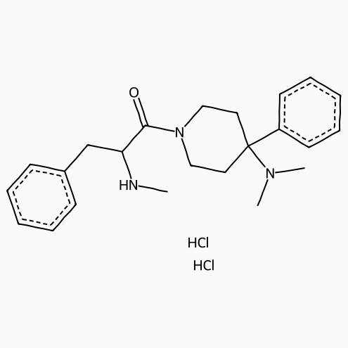 CNC(Cc1ccccc1)C(=O)N1CCC(c2ccccc2)(N(C)C)CC1.Cl.Cl